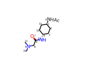 CC(=O)N[C@H]1CC[C@H](NC(=O)CN(C)C)CC1